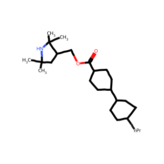 CCCC1CCC(C2CCC(C(=O)OCC3CC(C)(C)NC3(C)C)CC2)CC1